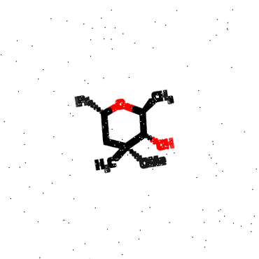 CO[C@]1(C)C[C@H](C(C)C)O[C@@H](C)[C@@H]1O